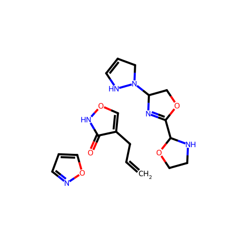 C1=CNN(C2COC(C3NCCO3)=N2)C1.C=CCc1co[nH]c1=O.c1cnoc1